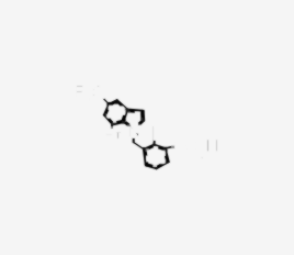 CCc1cc(C(F)(F)F)cc2ccn(Cc3cccc(C(=O)O)c3F)c12